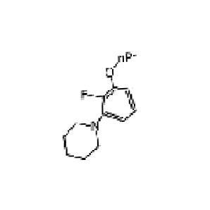 CCCOc1[c]ccc(N2CCCCC2)c1F